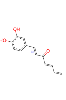 C=CC=CC(=O)/C=C/c1ccc(O)c(O)c1